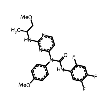 COC[C@H](C)Nc1nccc(N(C(=O)Nc2cc(F)c(F)cc2F)c2ccc(OC)cc2)n1